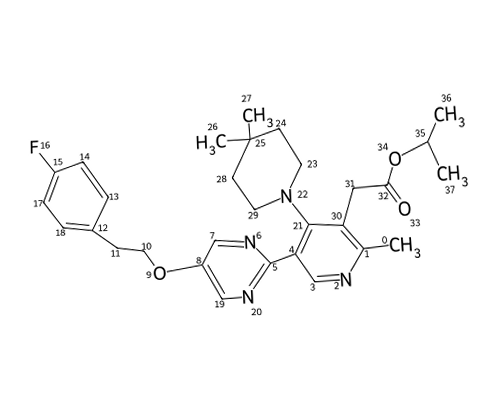 Cc1ncc(-c2ncc(OCCc3ccc(F)cc3)cn2)c(N2CCC(C)(C)CC2)c1CC(=O)OC(C)C